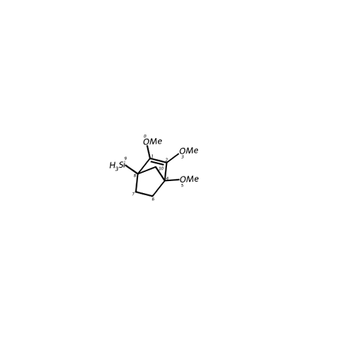 COC1=C(OC)C2(OC)CCC1([SiH3])C2